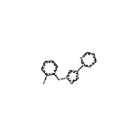 Fc1ccccc1Cn1cc(-c2ccccn2)cn1